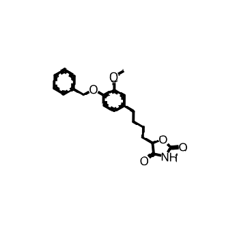 COc1cc(CCCCC2OC(=O)NC2=O)ccc1OCc1ccccc1